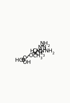 CC(C)(C)COCCOB(O)O.Nc1nc(N)nc(N)n1